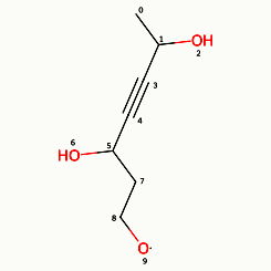 CC(O)C#CC(O)CC[O]